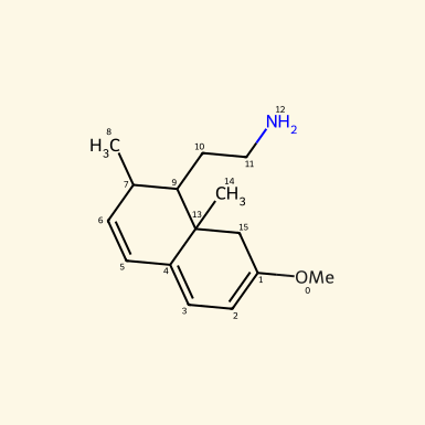 COC1=CC=C2C=CC(C)C(CCN)C2(C)C1